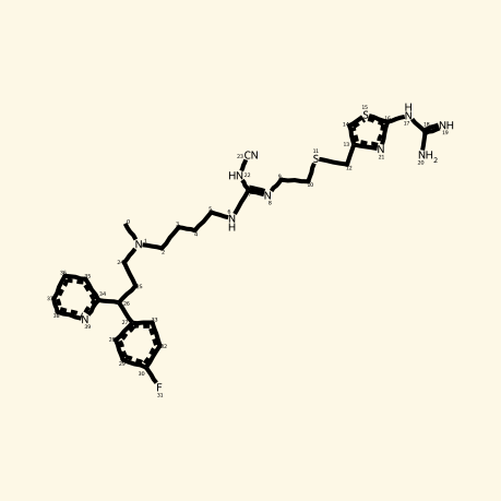 CN(CCCCNC(=NCCSCc1csc(NC(=N)N)n1)NC#N)CCC(c1ccc(F)cc1)c1ccccn1